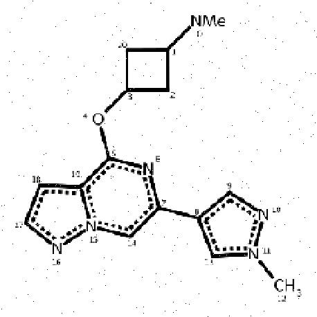 CNC1CC(Oc2nc(-c3cnn(C)c3)cn3nccc23)C1